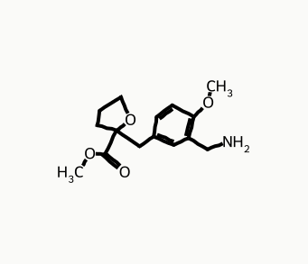 COC(=O)C1(Cc2ccc(OC)c(CN)c2)CCCO1